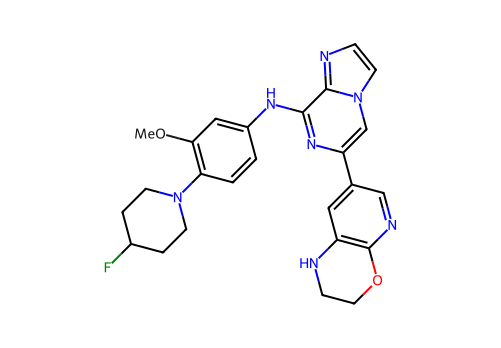 COc1cc(Nc2nc(-c3cnc4c(c3)NCCO4)cn3ccnc23)ccc1N1CCC(F)CC1